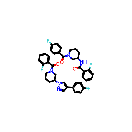 O=C(NC1CCCN(C(=O)c2ccc(F)cc2)C1)c1ccccc1F.O=C(c1ccccc1F)N1CCCC(n2cc(-c3ccc(F)cc3)cn2)C1